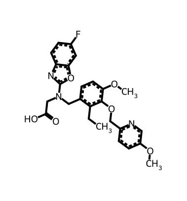 CCc1c(CN(CC(=O)O)c2nc3ccc(F)cc3o2)ccc(OC)c1OCc1ccc(OC)cn1